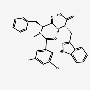 CN(C(=O)c1cc(Br)cc(Br)c1)[C@@H](Cc1ccccc1)C(=O)N[C@@H](Cc1c[nH]c2ccccc12)C(=O)O